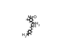 COc1ccc(C(N)CNCCc2ccc(N)cc2)cc1I